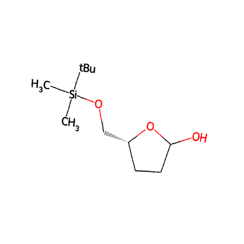 CC(C)(C)[Si](C)(C)OC[C@H]1CCC(O)O1